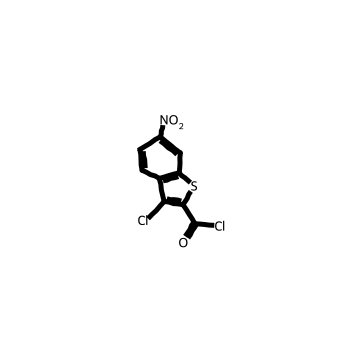 O=C(Cl)c1sc2cc([N+](=O)[O-])ccc2c1Cl